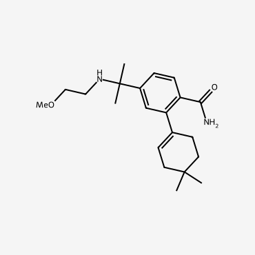 COCCNC(C)(C)c1ccc(C(N)=O)c(C2=CCC(C)(C)CC2)c1